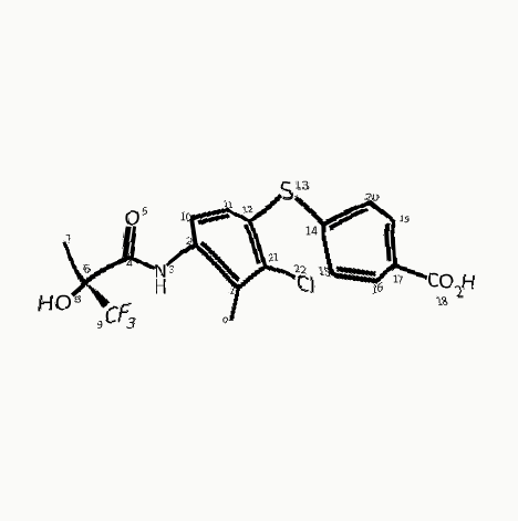 Cc1c(NC(=O)[C@@](C)(O)C(F)(F)F)ccc(Sc2ccc(C(=O)O)cc2)c1Cl